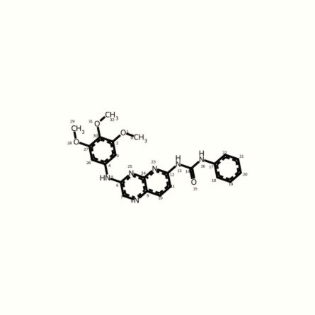 COc1cc(Nc2cnc3ccc(NC(=O)Nc4ccccc4)nc3n2)cc(OC)c1OC